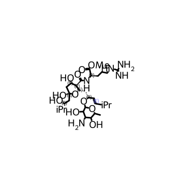 COC(=O)[C@@H](CCCNC(=N)N)NC(=O)[C@H]1[C@H](C[C@H](/C=C/C(C)C)OC2OC(C)C(O)C(N)C2O)O[C@](O)(C[C@@H](O)C(C)C)C[C@@H]1O